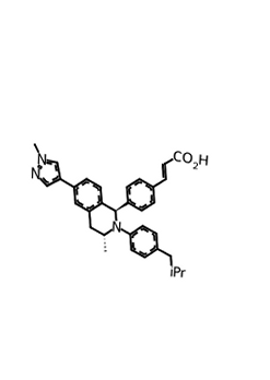 CC(C)Cc1ccc(N2[C@H](c3ccc(/C=C/C(=O)O)cc3)c3ccc(-c4cnn(C)c4)cc3C[C@H]2C)cc1